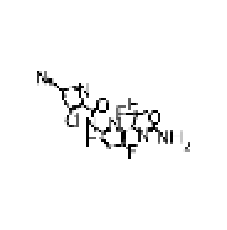 N#Cc1cnc(C(=O)Nc2ccc(F)c([C@H]3N=C(N)OCC3(F)F)n2)c(Cl)c1